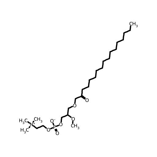 CCCCCCCCCCCCCCCC(=O)COCC(COP(=O)([O-])OCC[N+](C)(C)C)OC